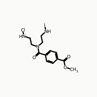 COC(=O)c1ccc(C(=O)N(CCNCl)CCNI)cc1